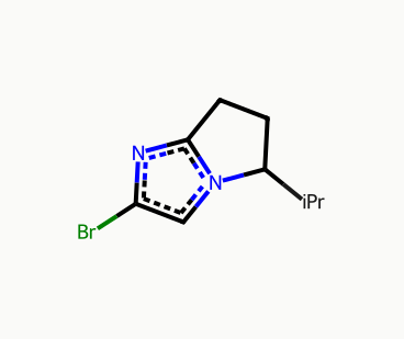 CC(C)C1CCc2nc(Br)cn21